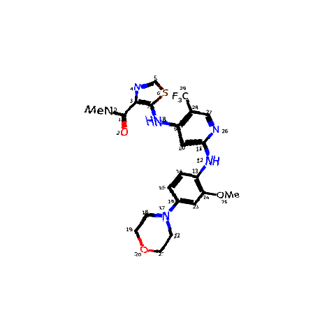 CNC(=O)c1ncsc1Nc1cc(Nc2ccc(N3CCOCC3)cc2OC)ncc1C(F)(F)F